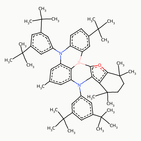 Cc1cc2c3c(c1)N(c1cc(C(C)(C)C)cc(C(C)(C)C)c1)c1c(oc4c1C(C)(C)CCC4(C)C)B3c1cc(C(C)(C)C)ccc1N2c1cc(C(C)(C)C)cc(C(C)(C)C)c1